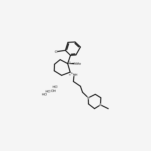 CN[C@]1(c2ccccc2Cl)CCCC[C@H]1NCCCN1CCN(C)CC1.Cl.Cl.Cl.Cl